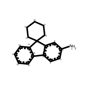 Nc1ccc2c(c1)C1(CCCCC1)c1ccccc1-2